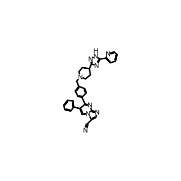 N#Cc1cnc2nc(-c3ccc(CN4CCC(c5n[nH]c(-c6ccccn6)n5)CC4)cc3)c(-c3ccccc3)cn12